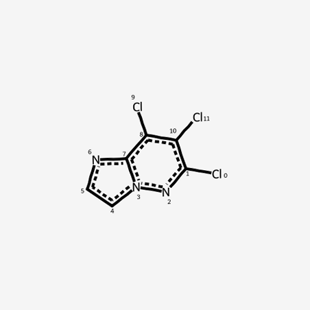 Clc1nn2ccnc2c(Cl)c1Cl